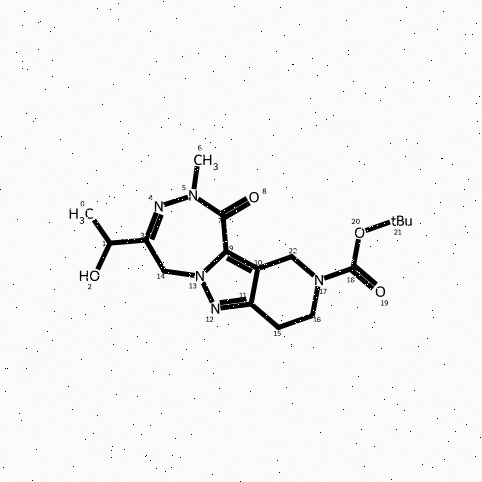 CC(O)C1=NN(C)C(=O)c2c3c(nn2C1)CCN(C(=O)OC(C)(C)C)C3